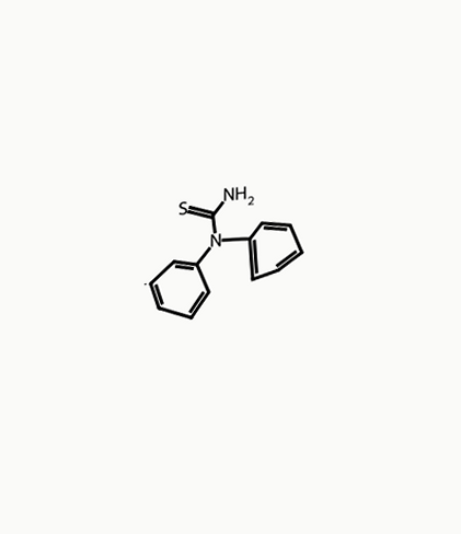 NC(=S)N(c1c[c]ccc1)c1ccccc1